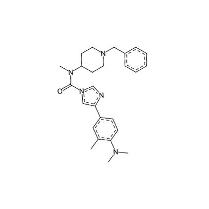 Cc1cc(-c2cn(C(=O)N(C)C3CCN(Cc4ccccc4)CC3)cn2)ccc1N(C)C